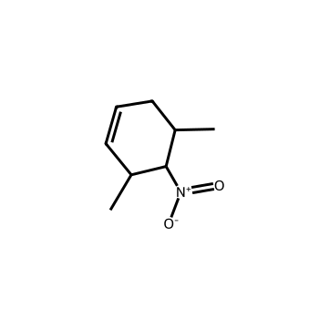 CC1C=CCC(C)C1[N+](=O)[O-]